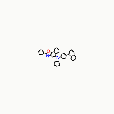 c1ccc(-c2nc3cc(N(c4ccccc4)c4ccc(-c5cccc6ccccc56)cc4)c4ccccc4c3o2)cc1